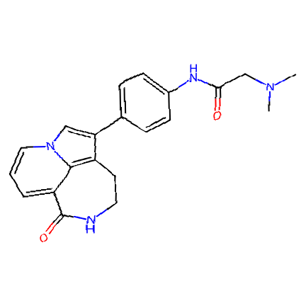 CN(C)CC(=O)Nc1ccc(-c2cn3cccc4c3c2CCNC4=O)cc1